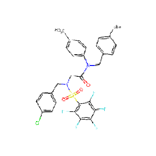 CC(C)(C)c1ccc(CN(C(=O)CN(Cc2ccc(Cl)cc2)S(=O)(=O)c2c(F)c(F)c(F)c(F)c2F)c2ccc(C(=O)O)cc2)cc1